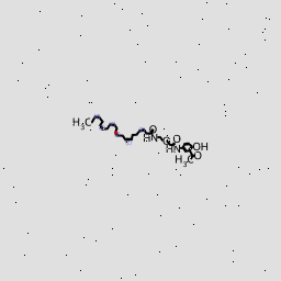 CC/C=C\C/C=C\C/C=C\C/C=C\C/C=C\CC/C=C\CC(=O)NCCOCC(=O)Nc1ccc(O)c(C(C)=O)c1